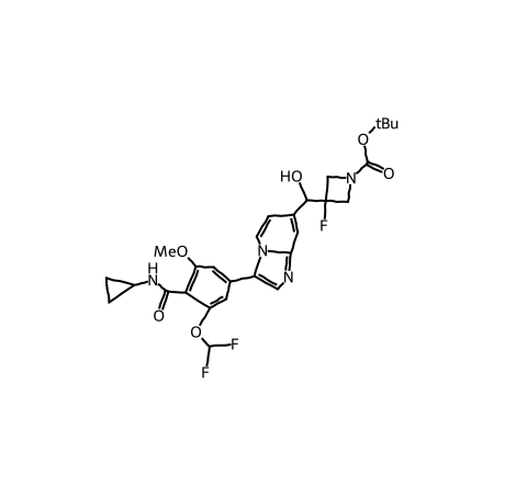 COc1cc(-c2cnc3cc(C(O)C4(F)CN(C(=O)OC(C)(C)C)C4)ccn23)cc(OC(F)F)c1C(=O)NC1CC1